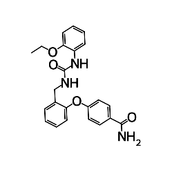 CCOc1ccccc1NC(=O)NCc1ccccc1Oc1ccc(C(N)=O)cc1